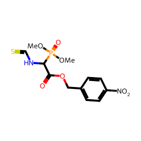 COP(=O)(OC)C(NC=S)C(=O)OCc1ccc([N+](=O)[O-])cc1